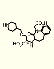 O=C(O)CN1C(=O)C(N[C@@H](COCC2CCNCC2)C(=O)O)CCc2ccccc21